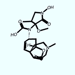 COC1(N(C(=O)O)[C@H]2C=C[C@@]34CCN(C)Cc5cccc(c53)O[C@H]4C2)C(=O)N(O)CC1C